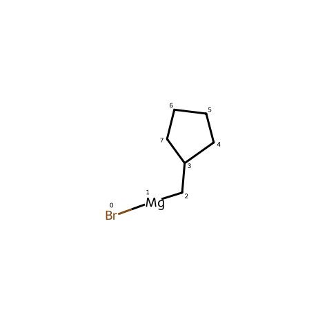 [Br][Mg][CH2]C1CCCC1